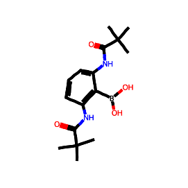 CC(C)(C)C(=O)Nc1cccc(NC(=O)C(C)(C)C)c1B(O)O